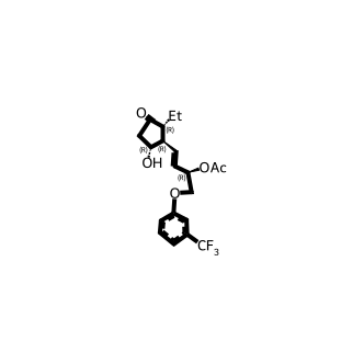 CC[C@H]1C(=O)C[C@@H](O)[C@@H]1C=C[C@H](COc1cccc(C(F)(F)F)c1)OC(C)=O